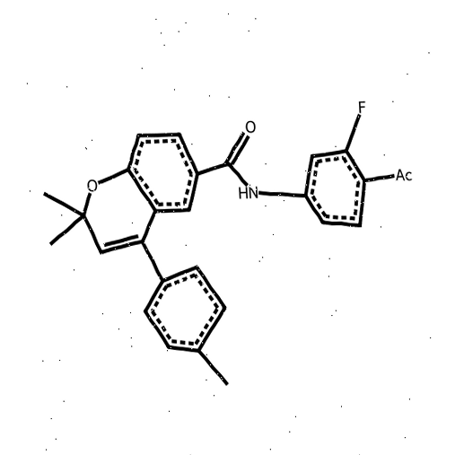 CC(=O)c1ccc(NC(=O)c2ccc3c(c2)C(c2ccc(C)cc2)=CC(C)(C)O3)cc1F